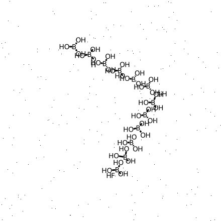 F.OB(O)O.OB(O)O.OB(O)O.OB(O)O.OB(O)O.OB(O)O.OB(O)O.OB(O)O.OB(O)O.OB(O)O.OB(O)O.OB(O)O.[LiH]